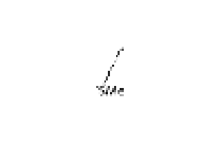 C#CCCCCCCCCCCCCCC[CH]SC